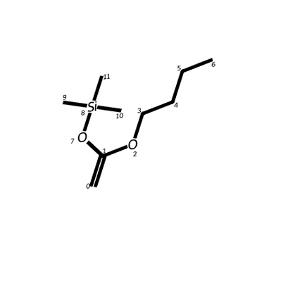 C=C(OCCCC)O[Si](C)(C)C